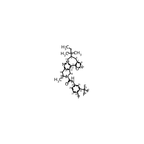 CCC(C)(C)C1Cc2cnoc2-c2c3c(nn2C1)C[C@@H](C)N(C(=O)Nc1ccc(F)c(C(F)(F)F)c1)C3